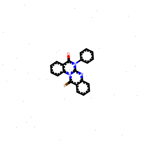 O=c1c2ccccc2n2c(=S)c3ccccc3nc2n1-c1ccccc1